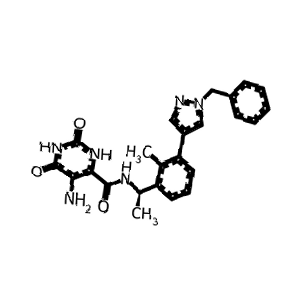 Cc1c(-c2cnn(Cc3ccccc3)c2)cccc1[C@@H](C)NC(=O)c1[nH]c(=O)[nH]c(=O)c1N